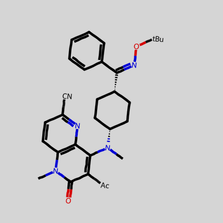 CC(=O)c1c(N(C)[C@H]2CC[C@@H](/C(=N/OC(C)(C)C)c3ccccc3)CC2)c2nc(C#N)ccc2n(C)c1=O